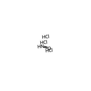 Cl.Cl.Cl.N=O